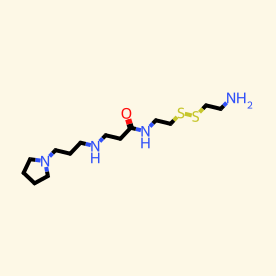 NCCSSCCNC(=O)CCNCCCN1CCCC1